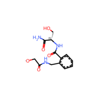 NC(=O)[C@H](CO)NC(=O)c1ccccc1CNC(=O)C[O]